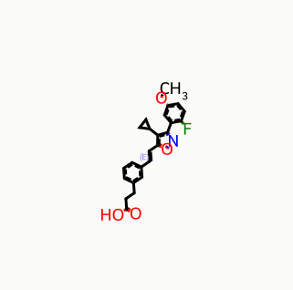 COc1ccc(F)c(-c2noc(/C=C/c3cccc(CCC(=O)O)c3)c2C2CC2)c1